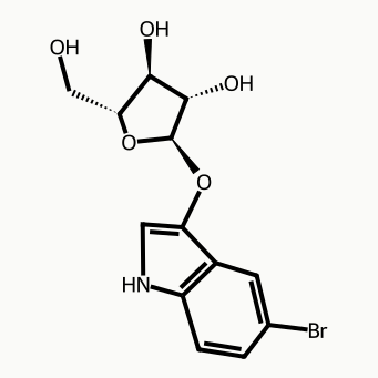 OC[C@H]1O[C@H](Oc2c[nH]c3ccc(Br)cc23)[C@@H](O)[C@@H]1O